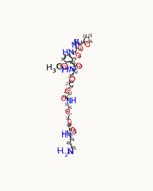 COc1ccc(NC(=O)c2nnc(C3=CCCO3)o2)cc1C(=O)NCCOCCOCC(=O)NCCOCCOCC(=O)NCCCN